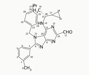 Cc1cccc(-c2nc3nc(C=O)nc(N[C@H](C)C4CC4)c3n2Cc2ccc(C(C)C)cc2)c1